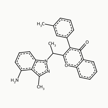 Cc1cccc(-c2c(C(C)n3nc(C)c4c(N)cccc43)oc3ccccc3c2=O)c1